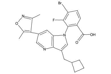 Cc1noc(C)c1-c1cnc2c(CC3CCC3)cn(-c3c(C(=O)O)ccc(Br)c3F)c2c1